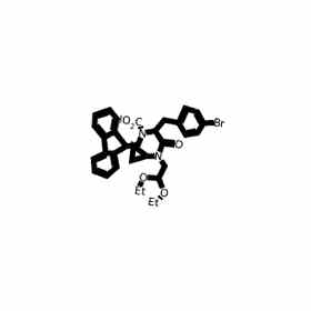 CCOC(CN(C(=O)C(Cc1ccc(Br)cc1)N(CC1c2ccccc2-c2ccccc21)C(=O)O)C1CC1)OCC